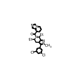 CCC1Cc2c(nn(C)c2-c2cc(Cl)cc(Cl)c2)C(CC)N1C(=O)c1cccn2cncc12